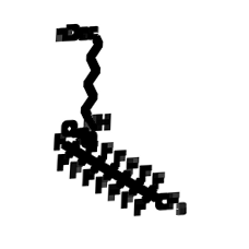 CCCCCCCCCCCCCCCCNS(=O)(=O)C(F)(F)C(F)(F)C(F)(F)C(F)(F)C(F)(F)C(F)(F)C(F)(F)C(F)(F)F